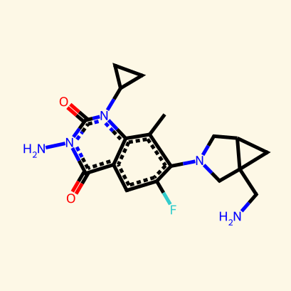 Cc1c(N2CC3CC3(CN)C2)c(F)cc2c(=O)n(N)c(=O)n(C3CC3)c12